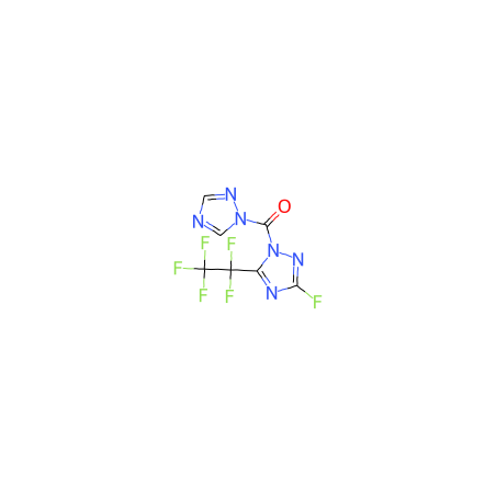 O=C(n1cncn1)n1nc(F)nc1C(F)(F)C(F)(F)F